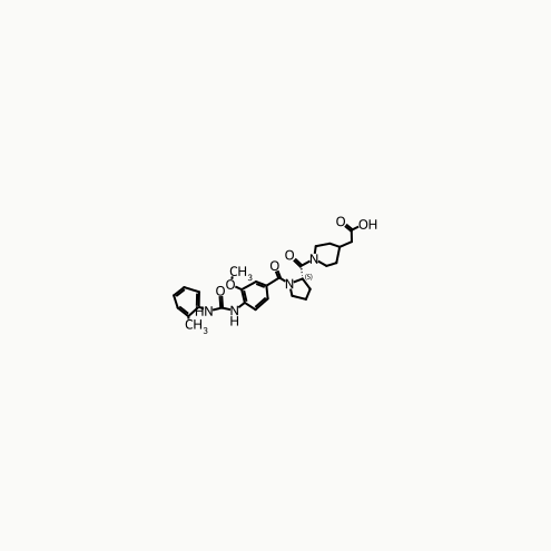 COc1cc(C(=O)N2CCC[C@H]2C(=O)N2CCC(CC(=O)O)CC2)ccc1NC(=O)Nc1ccccc1C